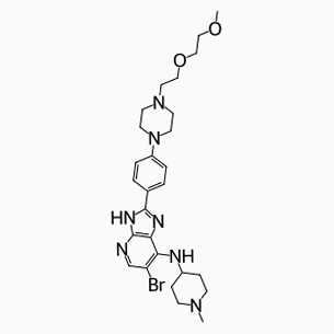 COCCOCCN1CCN(c2ccc(-c3nc4c(NC5CCN(C)CC5)c(Br)cnc4[nH]3)cc2)CC1